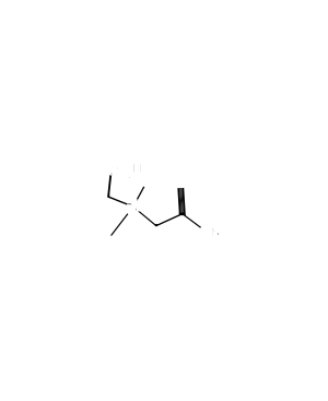 C=C(C#N)C[N+](C)(C)CC(=O)O